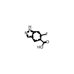 O=C(O)c1cc2cn[nH]c2cc1F